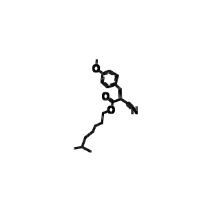 COc1ccc(C=C(C#N)C(=O)OCCCCCC(C)C)cc1